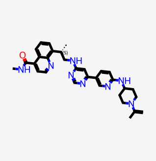 C=C(C)N1CCC(Nc2ccc(-c3cc(NC[C@@H](C)c4cccc5c(C(=O)NC)ccnc45)ncn3)cn2)CC1